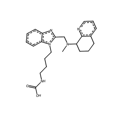 CN(Cc1nc2ccccc2n1CCCCNC(=O)O)C1CCCc2cccnc21